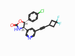 O=C1N[C@H](c2cncc(C#CC3CC(F)(F)C3)c2)[C@@H](c2ccc(Cl)cc2)O1